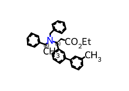 CCOC(=O)C[C@@H](c1cccc(-c2cccc(C)c2)c1)N(Cc1ccccc1)[C@H](C)c1ccccc1